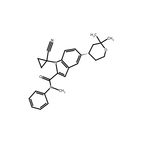 CN(C(=O)c1cc2cc([C@H]3CCOC(C)(C)C3)ccc2n1C1(C#N)CC1)c1ccccc1